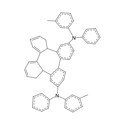 Cc1cccc(N(c2ccccc2)c2ccc3c(c2)C2CC=CC=C2C2=CC=CCC2c2cc(N(c4ccccc4)c4cccc(C)c4)ccc2-3)c1